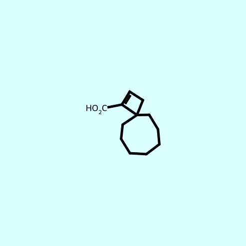 O=C(O)C1=CCC12CCCCCCC2